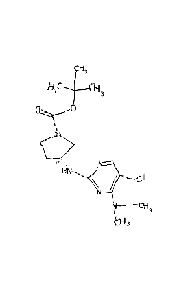 CN(C)c1nc(N[C@@H]2CCN(C(=O)OC(C)(C)C)C2)ncc1Cl